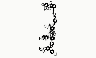 CC1(C)CCC(CN2CCN(c3ccc(C(=O)NS(=O)(=O)c4ccc(NCC5CCN(CCOCC#Cc6cccc7c6C(=O)N(C6CCC(=O)NC6=O)C7=O)CC5)c([N+](=O)[O-])c4)c(Oc4cnc5[nH]ccc5c4)c3)CC2)=C(c2ccc(Cl)cc2)C1